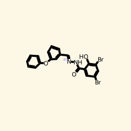 O=C(N/N=C/c1cccc(Oc2ccccc2)c1)c1cc(Br)cc(Br)c1O